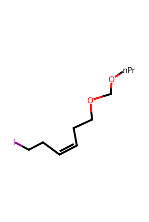 CCCOCOCC/C=C\CCI